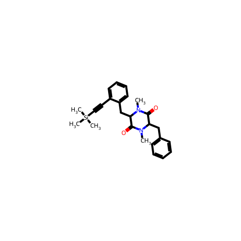 CN1C(=O)C(Cc2ccccc2C#C[Si](C)(C)C)N(C)C(=O)C1Cc1ccccc1